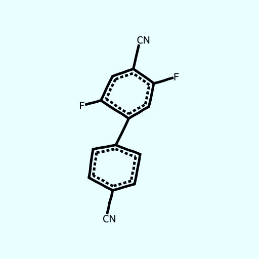 N#Cc1ccc(-c2cc(F)c(C#N)cc2F)cc1